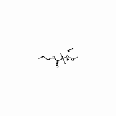 CCCOC(=O)C(C)(C)[SiH](OC)OC